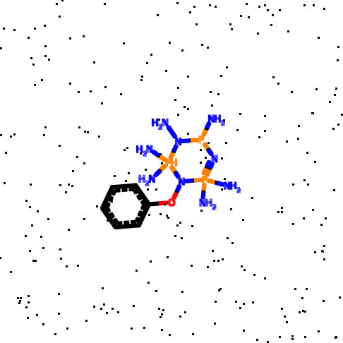 NN1P(N)N=P(N)(N)N(Oc2ccccc2)[PH]1(N)N